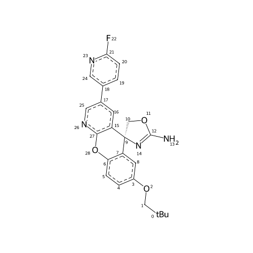 CC(C)(C)COc1ccc2c(c1)[C@@]1(COC(N)=N1)c1cc(-c3ccc(F)nc3)cnc1O2